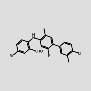 Cc1cc(-c2cc(C)c(Nc3ccc(Br)cc3C=O)cc2F)ccc1Cl